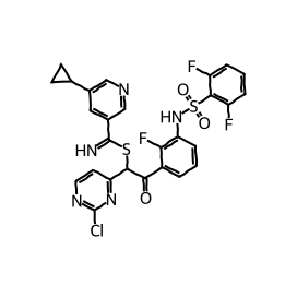 N=C(SC(C(=O)c1cccc(NS(=O)(=O)c2c(F)cccc2F)c1F)c1ccnc(Cl)n1)c1cncc(C2CC2)c1